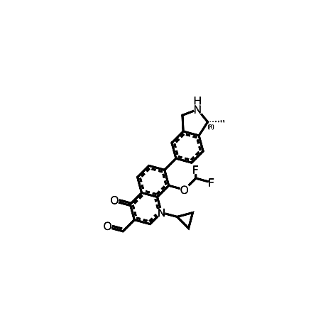 C[C@H]1NCc2cc(-c3ccc4c(=O)c(C=O)cn(C5CC5)c4c3OC(F)F)ccc21